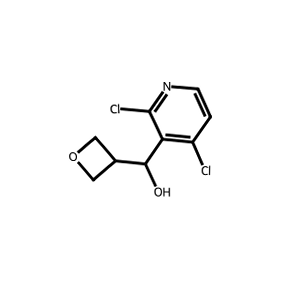 OC(c1c(Cl)ccnc1Cl)C1COC1